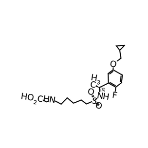 C[C@H](NS(=O)(=O)CCCCCNCC(=O)O)c1cc(OCC2CC2)ccc1F